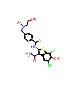 CCN(CCO)Cc1ccc(C(=O)Nc2sc3c(Cl)c(O)c(Cl)cc3c2C(N)=O)cc1